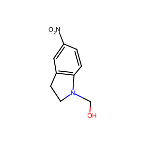 O=[N+]([O-])c1ccc2c(c1)CCN2CO